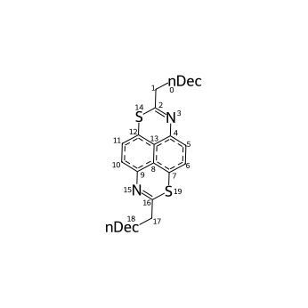 CCCCCCCCCCCC1=Nc2ccc3c4c(ccc(c24)S1)N=C(CCCCCCCCCCC)S3